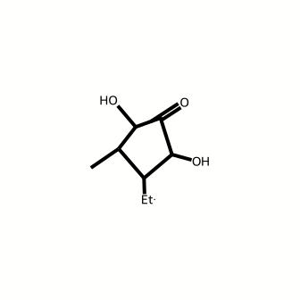 C[CH]C1C(O)C(=O)C(O)C1C